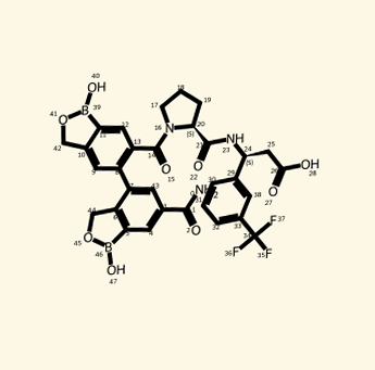 NC(=O)c1cc2c(c(-c3cc4c(cc3C(=O)N3CCC[C@H]3C(=O)N[C@@H](CC(=O)O)c3cccc(C(F)(F)F)c3)B(O)OC4)c1)COB2O